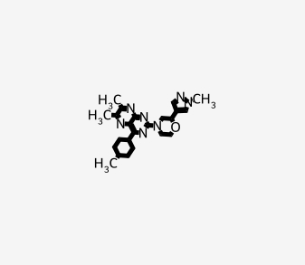 Cc1nc2nc(N3CCOC(c4cnn(C)c4)C3)nc(C3CCC(C)CC3)c2nc1C